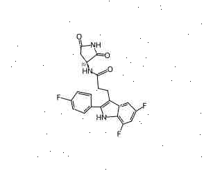 O=C1C[C@H](NC(=O)CCc2c(-c3ccc(F)cc3)[nH]c3c(F)cc(F)cc23)C(=O)N1